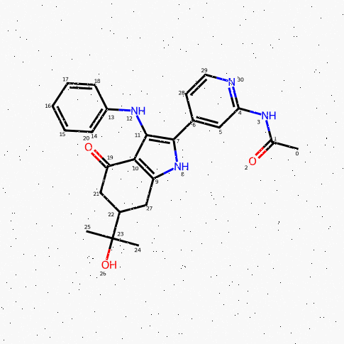 CC(=O)Nc1cc(-c2[nH]c3c(c2Nc2ccccc2)C(=O)CC(C(C)(C)O)C3)ccn1